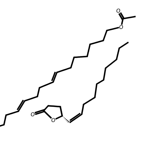 CCCCC=CCCC=CCCCCCCOC(C)=O.CCCCCCCC/C=C\[C@H]1CCC(=O)O1